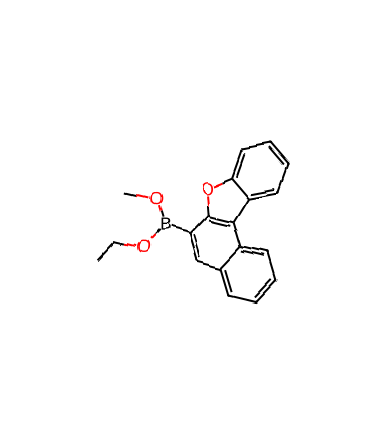 CCOB(OC)c1cc2ccccc2c2c1oc1ccccc12